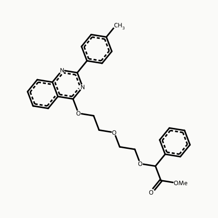 COC(=O)C(OCCOCCOc1nc(-c2ccc(C)cc2)nc2ccccc12)c1ccccc1